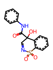 O=C(Nc1ccccc1)C1(O)C=NS(=O)(=O)c2ccccc21